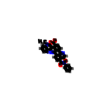 CN(C(=O)C1=CNC2c3c(ccc(C=O)c31)-c1ncc3c4c(ccc2c14)C(=O)N(c1ccccc1)O3)c1ccccc1